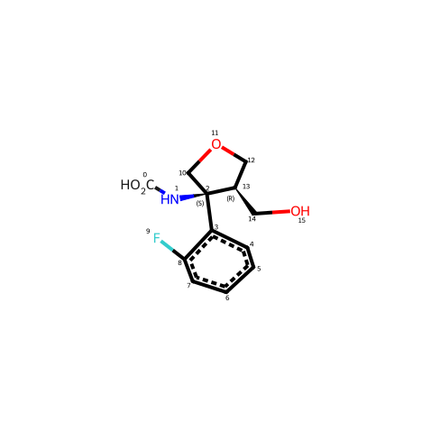 O=C(O)N[C@@]1(c2ccccc2F)COC[C@H]1CO